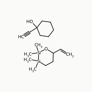 C#CC1(O)CCCCC1.C=CC1CC[Si](C)(C)[Si](C)(C)O1